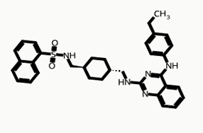 CCc1ccc(Nc2nc(NC[C@H]3CC[C@H](CNS(=O)(=O)c4cccc5ccccc45)CC3)nc3ccccc23)cc1